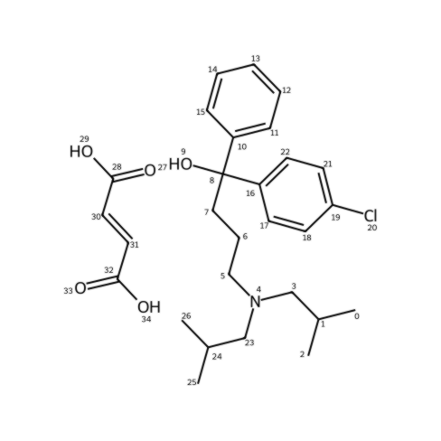 CC(C)CN(CCCC(O)(c1ccccc1)c1ccc(Cl)cc1)CC(C)C.O=C(O)C=CC(=O)O